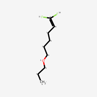 [CH2]CCOCCCCC=C(F)F